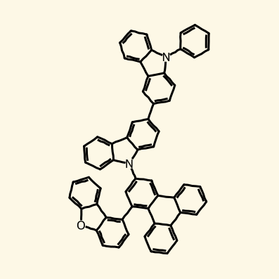 c1ccc(-n2c3ccccc3c3cc(-c4ccc5c(c4)c4ccccc4n5-c4cc(-c5cccc6oc7ccccc7c56)c5c6ccccc6c6ccccc6c5c4)ccc32)cc1